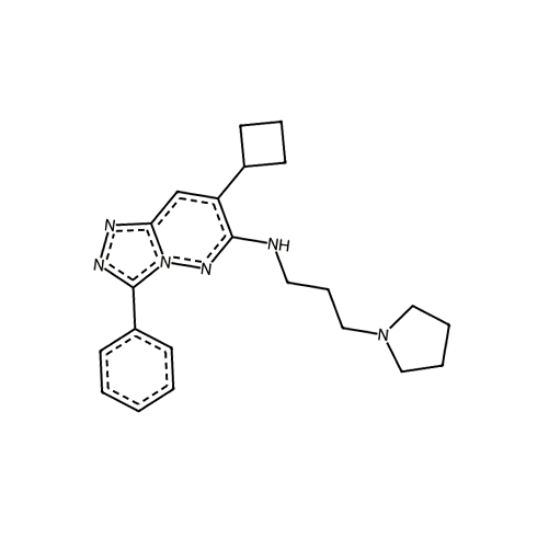 c1ccc(-c2nnc3cc(C4CCC4)c(NCCCN4CCCC4)nn23)cc1